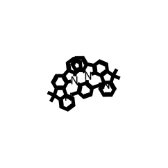 CC1(C)c2ccccc2-c2c1ccc1c3ccccc3n(-c3c(C#N)ccc(C#N)c3-n3c4ccccc4c4ccc5c(c43)-c3ccccc3C5(C)C)c21